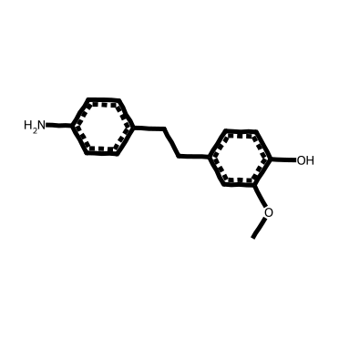 COc1cc(CCc2ccc(N)cc2)ccc1O